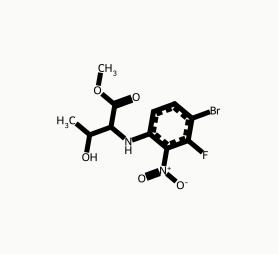 COC(=O)C(Nc1ccc(Br)c(F)c1[N+](=O)[O-])C(C)O